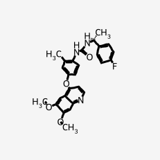 COc1cc2nccc(Oc3ccc(NC(=O)N[C@H](C)c4ccc(F)cc4)c(C)c3)c2cc1OC